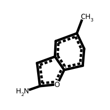 Cc1ccc2oc(N)cc2c1